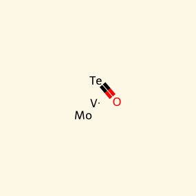 O=[Te].[Mo].[V]